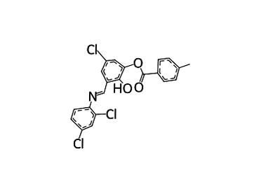 Cc1ccc(C(=O)Oc2cc(Cl)cc(C=Nc3ccc(Cl)cc3Cl)c2O)cc1